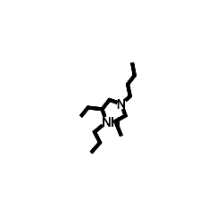 CCCCN(CCC)CC(CC)NCCC